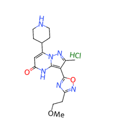 COCCc1noc(-c2c(C)nn3c(C4CCNCC4)cc(=O)[nH]c23)n1.Cl